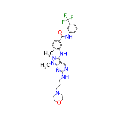 Cc1ccc(C(=O)Nc2cccc(C(F)(F)F)c2)cc1Nc1nn(C)c2nc(NCCCN3CCOCC3)ncc12